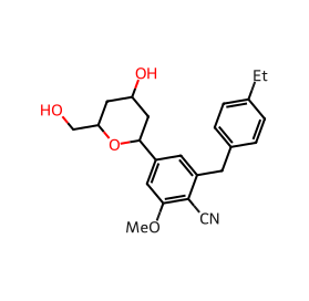 CCc1ccc(Cc2cc(C3CC(O)CC(CO)O3)cc(OC)c2C#N)cc1